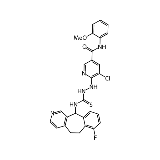 COc1ccccc1NC(=O)c1cnc(NNC(=S)NC2c3cnccc3CCc3c(F)cccc32)c(Cl)c1